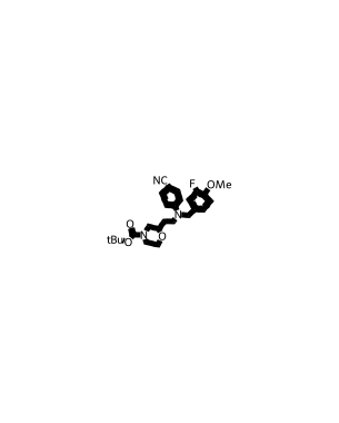 COc1ccc(CN(CCC2CN(C(=O)OC(C)(C)C)CCO2)c2ccc(C#N)cc2)cc1F